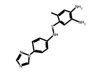 Cc1cc(N)c(N)cc1SNc1ccc(-n2cncn2)cc1